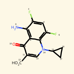 Nc1c(F)cc(F)c2c1c(=O)c(C(=O)O)cn2C1CC1